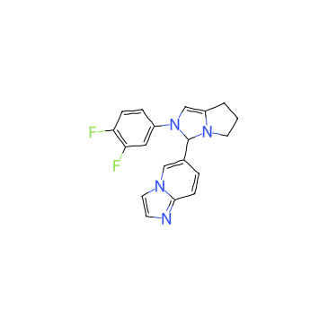 Fc1ccc(N2C=C3CCCN3C2c2ccc3nccn3c2)cc1F